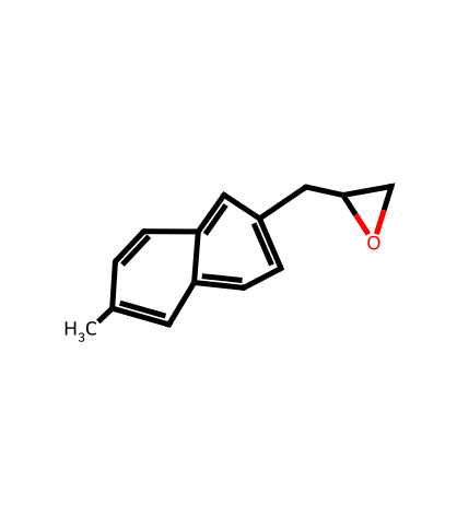 Cc1ccc2cc(CC3CO3)ccc2c1